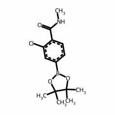 CNC(=O)c1ccc(B2OC(C)(C)C(C)(C)O2)cc1Cl